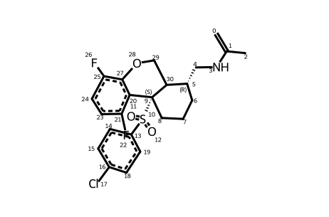 C=C(C)NC[C@@H]1CCC[C@@]2(S(=O)(=O)c3ccc(Cl)cc3)c3c(F)ccc(F)c3OCC12